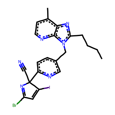 CCCCc1nc2c(C)ccnc2n1Cc1ccc(C2(C#N)N=C(Br)C=C2I)nc1